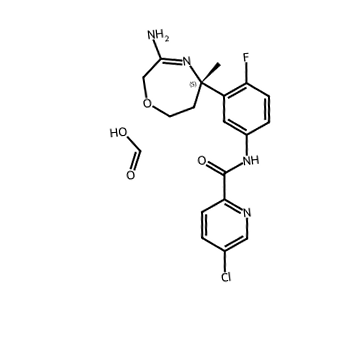 C[C@@]1(c2cc(NC(=O)c3ccc(Cl)cn3)ccc2F)CCOCC(N)=N1.O=CO